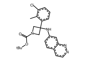 Cc1c(Cl)cccc1C1(Nc2ccc3ccnnc3c2)CN(C(=O)OC(C)(C)C)C1